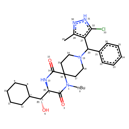 CCCCN1C(=O)[C@@H]([C@H](O)C2CCCCC2)NC(=O)C12CCN(C(c1ccccc1)c1c(C)n[nH]c1Cl)CC2